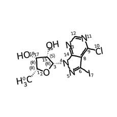 C[C@H]1O[C@@H](n2nc(I)c3c(Cl)ncnc32)[C@@H](O)[C@H]1O